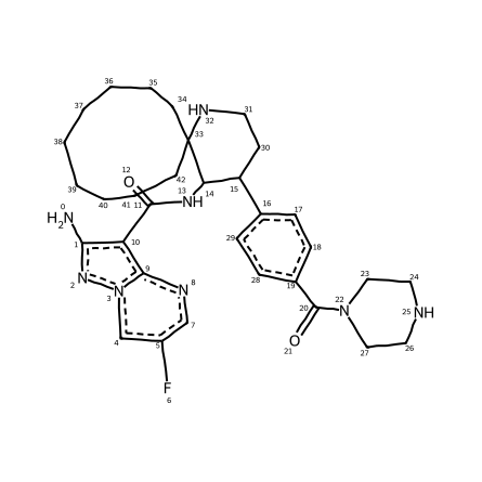 Nc1nn2cc(F)cnc2c1C(=O)NC1C(c2ccc(C(=O)N3CCNCC3)cc2)CCNC12CCCCCCCCC2